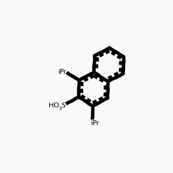 CC(C)c1cc2ccccc2c(C(C)C)c1S(=O)(=O)O